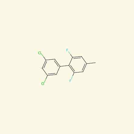 Cc1cc(F)c(-c2cc(Cl)[c]c(Cl)c2)c(F)c1